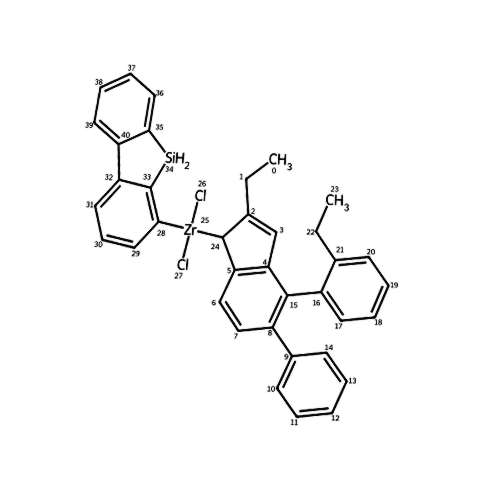 CCC1=Cc2c(ccc(-c3ccccc3)c2-c2ccccc2CC)[CH]1[Zr]([Cl])([Cl])[c]1cccc2c1[SiH2]c1ccccc1-2